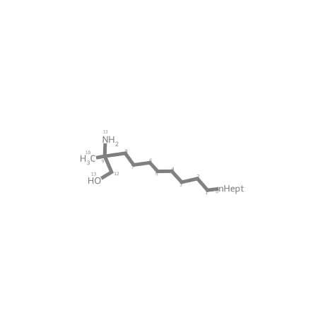 CCCCCCCCCCCCCCCC(C)(N)CO